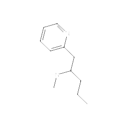 CCCC(Cc1ccccn1)NC